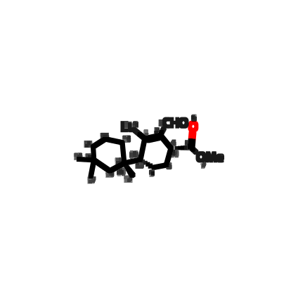 CCC1=C(C=O)[C@H](C(=O)OC)CC[C@@H]1[C@@]1(C)CCCC(C)(C)C1